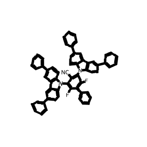 N#Cc1c(-n2c3ccc(-c4ccccc4)cc3c3cc(-c4ccccc4)ccc32)c(F)c(-c2ccccc2)c(F)c1-n1c2ccc(-c3ccccc3)cc2c2cc(-c3ccccc3)ccc21